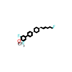 FCCCC=CC[C@H]1CC[C@H](c2ccc(-c3cc(F)c(OC(F)(F)F)c(F)c3)cc2)CC1